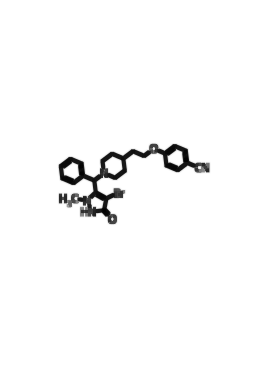 Cn1[nH]c(=O)c(Br)c1C(c1ccccc1)N1CCC(CCOc2ccc(C#N)cc2)CC1